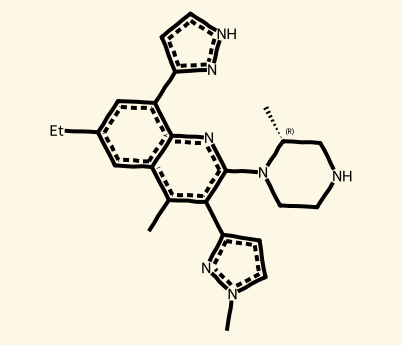 CCc1cc(-c2cc[nH]n2)c2nc(N3CCNC[C@H]3C)c(-c3ccn(C)n3)c(C)c2c1